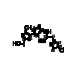 Cc1nc(CO)sc1-c1csc(NC(O)Cn2cc(Cl)cn2)n1